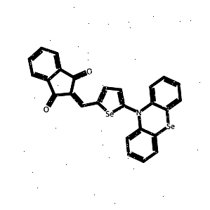 O=C1C(=Cc2ccc(N3c4ccccc4[Se]c4ccccc43)[se]2)C(=O)c2ccccc21